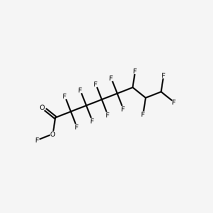 O=C(OF)C(F)(F)C(F)(F)C(F)(F)C(F)(F)C(F)C(F)C(F)F